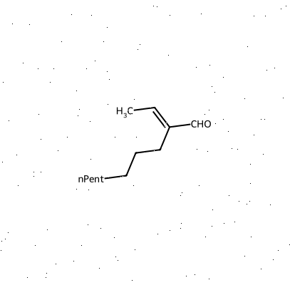 CC=C(C=O)CCCCCCCC